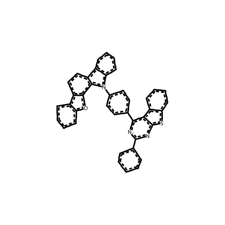 c1ccc(-c2nc(-c3ccc(-n4c5ccccc5c5ccc6c7ccccc7oc6c54)cc3)c3c(n2)sc2ccccc23)cc1